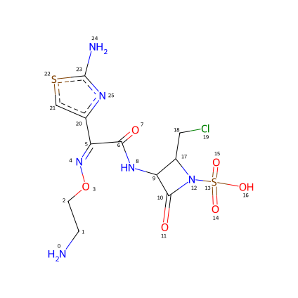 NCCO/N=C(\C(=O)NC1C(=O)N(S(=O)(=O)O)C1CCl)c1csc(N)n1